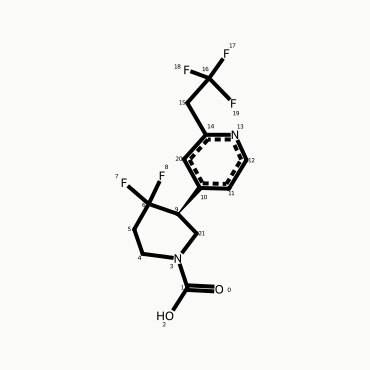 O=C(O)N1CCC(F)(F)[C@@H](c2ccnc(CC(F)(F)F)c2)C1